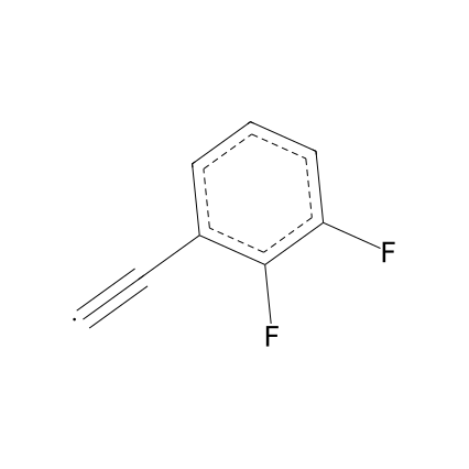 [C]#Cc1cccc(F)c1F